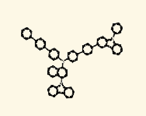 c1ccc(-c2ccc(-c3ccc(N(c4ccc(-c5ccc(-c6ccc7c(c6)c6ccccc6n7-c6ccccc6)cc5)cc4)c4ccc(-n5c6ccccc6c6ccccc65)c5ccccc45)cc3)cc2)cc1